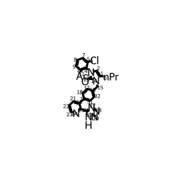 CCCc1cn(-c2c(Cl)cccc2C(C)=O)c(=O)n1Cc1ccc(-c2cccnc2-c2nnn[nH]2)cc1